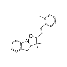 Cc1ccccc1C=CC1ON2c3ccccc3CC2C1(C)C